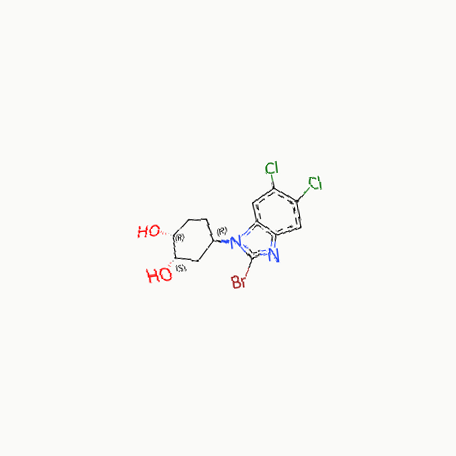 O[C@@H]1CC[C@@H](n2c(Br)nc3cc(Cl)c(Cl)cc32)C[C@@H]1O